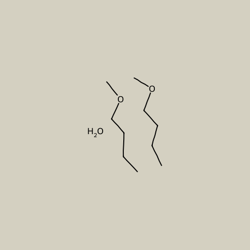 CCCCOC.CCCCOC.O